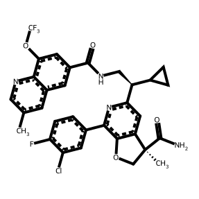 Cc1cnc2c(OC(F)(F)F)cc(C(=O)NC[C@H](c3cc4c(c(-c5ccc(F)c(Cl)c5)n3)OC[C@]4(C)C(N)=O)C3CC3)cc2c1